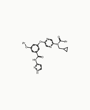 CC(C)Oc1cc(Oc2cnc(N(CC3CC3)C(=O)C(C)C)cn2)cc(C(=O)Nc2cc[nH]n2)c1